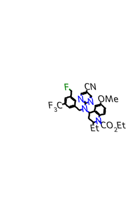 CCOC(=O)N1c2ccc(OC)cc2C(N(Cc2cc(CF)cc(C(F)(F)F)c2)c2ncc(C#N)cn2)CC1CC